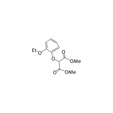 CCOc1ccccc1OC(C(=O)OC)C(=O)OC